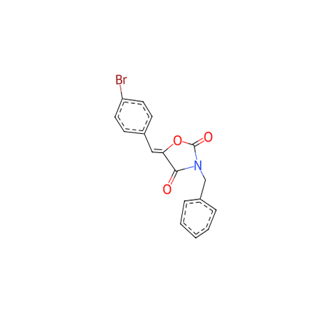 O=C1O/C(=C\c2ccc(Br)cc2)C(=O)N1Cc1ccccc1